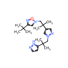 CC(C)(C)c1c[n+](CC(C)(C)c2cnn(CC(C)(C)c3ccn[nH]3)c2)on1